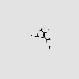 CCOC(=O)c1nc(SC)[nH]c(=O)c1OC